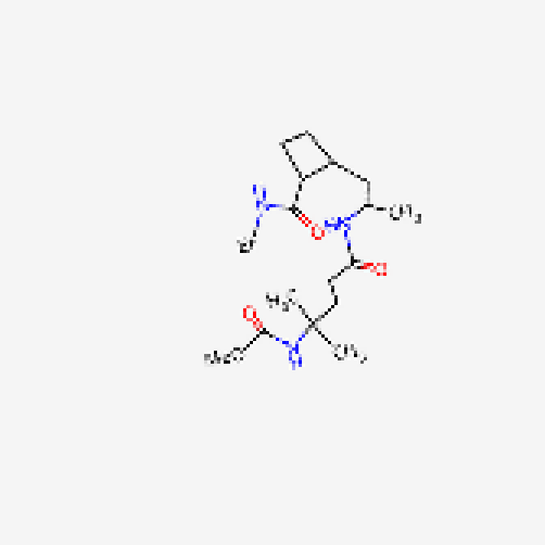 CCNC(=O)C1CCC1CC(C)NC(=O)CCC(C)(C)NC(=O)OC